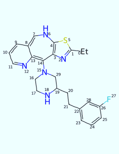 CCc1nc2c(s1)NC=c1cccnc1=C2N1CCNC(CCc2cccc(F)c2)C1